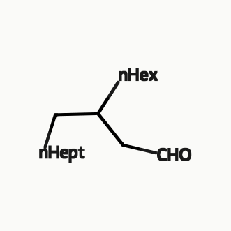 CCCCCCCCC(CC=O)CCCCCC